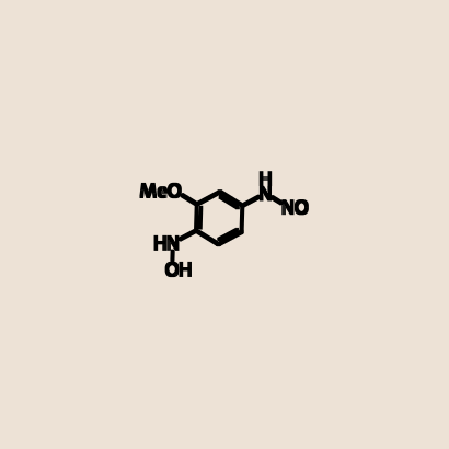 COc1cc(NN=O)ccc1NO